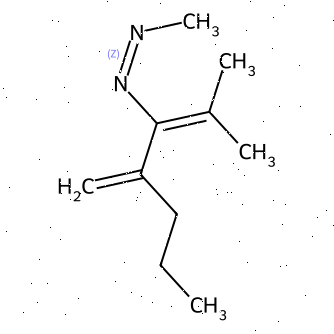 C=C(CCC)C(/N=N\C)=C(C)C